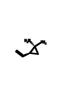 C=C[C@@H]1C[C@]1(N)P